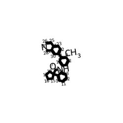 Cc1ccc(NC(=O)C2(c3ccccc3)CCCC2)cc1-c1ccc2ccncc2c1